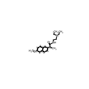 CCN(CC)CCNC(=O)C(C)c1ccc2cc(OC)ccc2c1